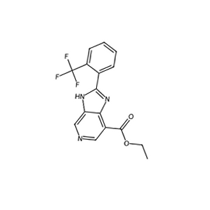 CCOC(=O)c1cncc2[nH]c(-c3ccccc3C(F)(F)F)nc12